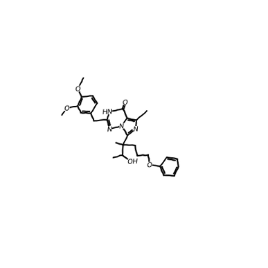 COc1ccc(Cc2nn3c(C(C)(CCCOc4ccccc4)C(C)O)nc(C)c3c(=O)[nH]2)cc1OC